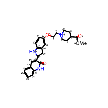 COC(=O)C1CCN(CCOc2ccc3c(c2)CC(c2cc4ccccc4[nH]c2=O)N3)CC1